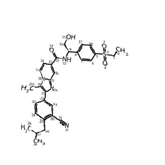 CCS(=O)(=O)c1ccc([C@H](CO)NC(=O)c2ccn3c(C)c(-c4ccc(CC(C)C)c(C#N)c4)nc3c2)cc1